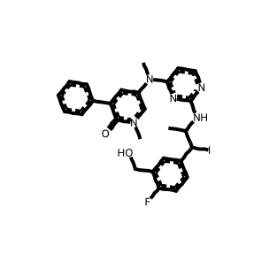 CC(Nc1nccc(N(C)c2cc(-c3ccccc3)c(=O)n(C)c2)n1)C(I)c1ccc(F)c(CO)c1